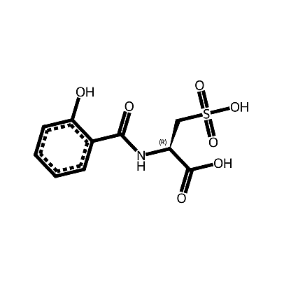 O=C(N[C@@H](CS(=O)(=O)O)C(=O)O)c1ccccc1O